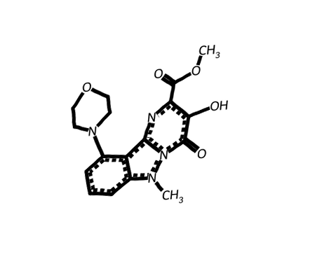 COC(=O)c1nc2c3c(N4CCOCC4)cccc3n(C)n2c(=O)c1O